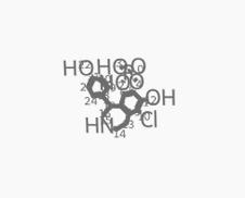 O=P(O)(O)Oc1cc2c(c(Cl)c1O)CCNCC2c1ccc(O)cc1